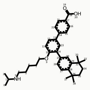 CC(C)NCCCCCOc1ccc(-c2ccc(C(=O)O)cc2)cc1-c1ccc2c(c1)C(C)(C)CCC2(C)C